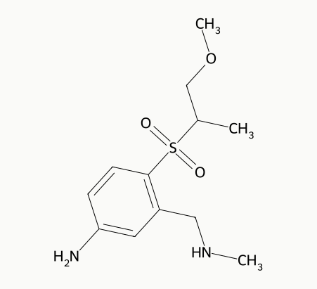 CNCc1cc(N)ccc1S(=O)(=O)C(C)COC